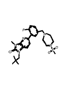 Cn1c(=O)n(CC(C)(C)C)c2ccc(-c3cc(CN4CCN(S(C)(=O)=O)CC4)ccc3F)nc21